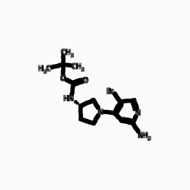 CC(C)(C)OC(=O)N[C@H]1CCN(c2cc(N)ncc2Br)C1